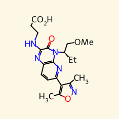 CC[C@H](COC)n1c(=O)c(NCCC(=O)O)nc2ccc(-c3c(C)noc3C)nc21